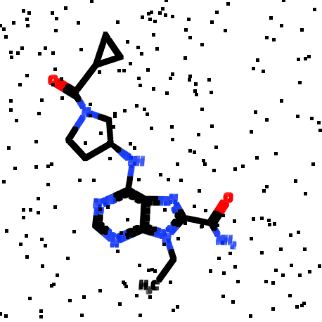 CCn1c(C(N)=O)nc2c(N[C@H]3CCN(C(=O)C4CC4)C3)ncnc21